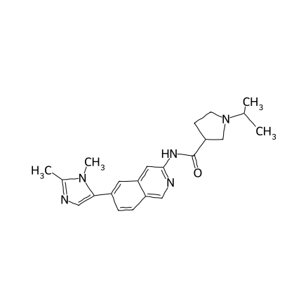 Cc1ncc(-c2ccc3cnc(NC(=O)C4CCN(C(C)C)C4)cc3c2)n1C